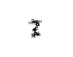 Cc1c(COc2ccc3[nH]cc(C(C)(C)C(=O)O)c3c2)cnn1-c1cc(C(F)(F)F)cc(C(F)(F)F)c1